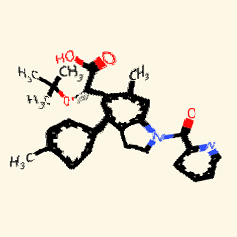 Cc1ccc(-c2c3c(cc(C)c2[C@H](OC(C)(C)C)C(=O)O)N(C(=O)c2ccccn2)CC3)cc1